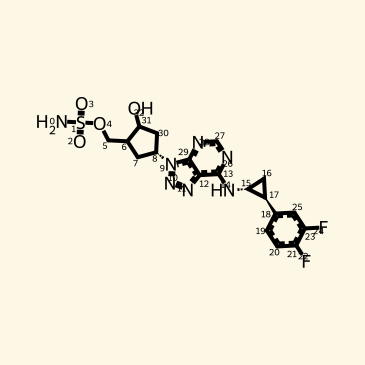 NS(=O)(=O)OCC1C[C@@H](n2nnc3c(N[C@@H]4C[C@H]4c4ccc(F)c(F)c4)ncnc32)CC1O